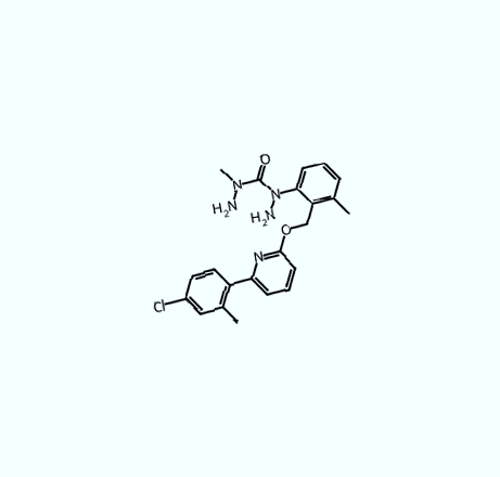 Cc1cc(Cl)ccc1-c1cccc(OCc2c(C)cccc2N(N)C(=O)N(C)N)n1